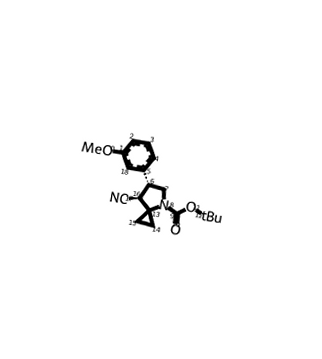 COc1cccc([C@@H]2CN(C(=O)OC(C)(C)C)C3(CC3)[C@H]2C#N)c1